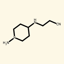 N#CCCNC1CCN(N)CC1